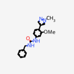 COc1cc(NC(=O)NCc2ccccc2)ccc1-c1cnn(C)c1